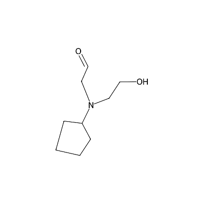 O=CCN(CCO)C1CCCC1